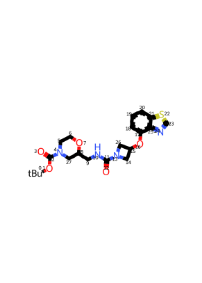 CC(C)(C)OC(=O)N1CCOC(CNC(=O)N2CC(Oc3cccc4scnc34)C2)C1